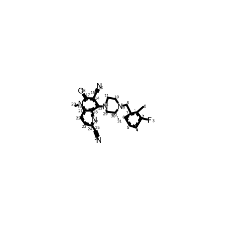 Cc1c(F)cccc1CN1CCN(c2c(C#N)c(=O)n(C)c3ccc(C#N)nc23)C[C@H]1C